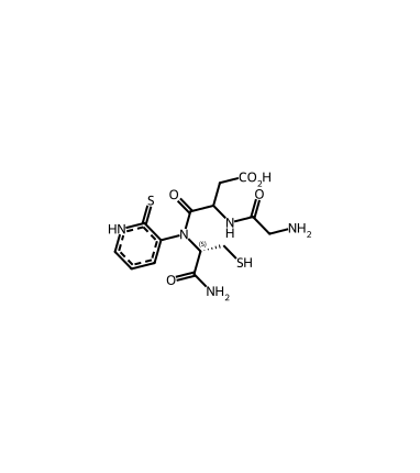 NCC(=O)NC(CC(=O)O)C(=O)N(c1ccc[nH]c1=S)[C@H](CS)C(N)=O